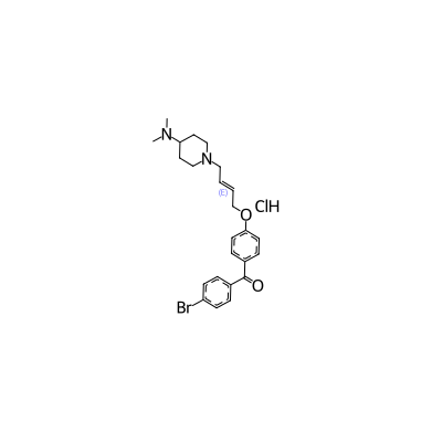 CN(C)C1CCN(C/C=C/COc2ccc(C(=O)c3ccc(Br)cc3)cc2)CC1.Cl